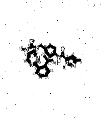 Cc1cc(C(=O)Nc2ccc(Cn3c(=O)n(C)c4cnc(-c5ccccc5C(C)C)nc43)cc2)n(C)n1